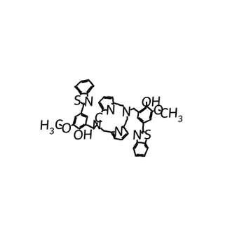 COc1cc(-c2nc3ccccc3s2)cc(CN2Cc3cccc(n3)CN(Cc3cc(-c4nc5ccccc5s4)cc(OC)c3O)Cc3cccc(n3)C2)c1O